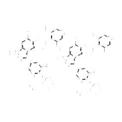 CC(Oc1cc2c(-c3cnc(N4CCC[C@@H]4C#N)c(F)c3)n[nH]c2cc1F)c1c(Cl)cncc1Cl.CC(Oc1cc2c(-c3cnc(N4CCC[C@H]4C#N)c(F)c3)n[nH]c2cc1F)c1c(Cl)cncc1Cl